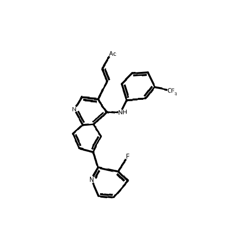 CC(=O)/C=C/c1cnc2ccc(-c3ncccc3F)cc2c1Nc1cccc(C(F)(F)F)c1